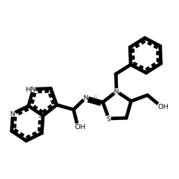 OCC1CS/C(=N\C(O)c2c[nH]c3ncccc23)N1Cc1ccccc1